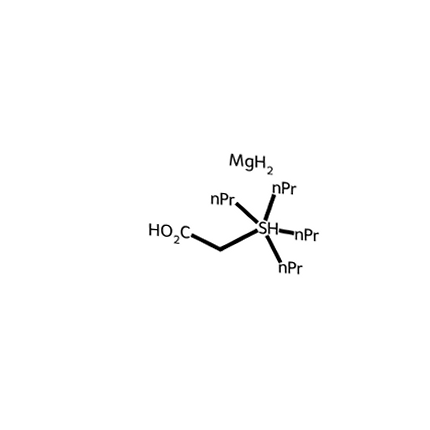 CCC[SH](CCC)(CCC)(CCC)CC(=O)O.[MgH2]